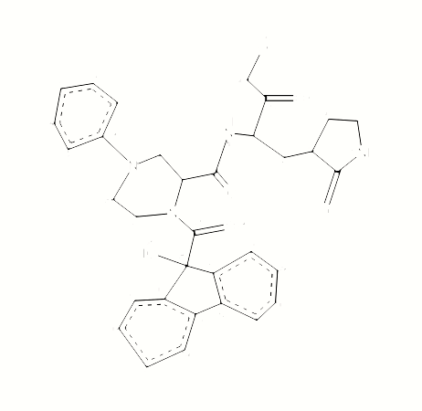 O=C1NCCC1CC(NC(=O)C1CN(c2ccccc2)CCN1C(=O)C1(O)c2ccccc2-c2ccccc21)C(=O)CO